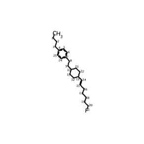 CCCCc1ccc(CCC2CCC(/C=C/CCCCCF)CC2)cc1